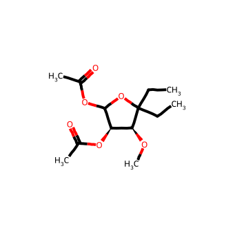 CCC1(CC)OC(OC(C)=O)[C@H](OC(C)=O)[C@@H]1OC